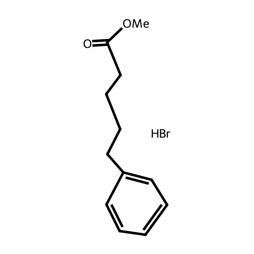 Br.COC(=O)CCCCc1ccccc1